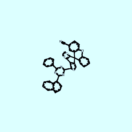 N#Cc1ccc2c(c1)C1(c3ccccc3O2)c2ccccc2-c2c(-c3nc(-c4ccccc4)nc(-c4cccc5ccccc45)n3)cccc21